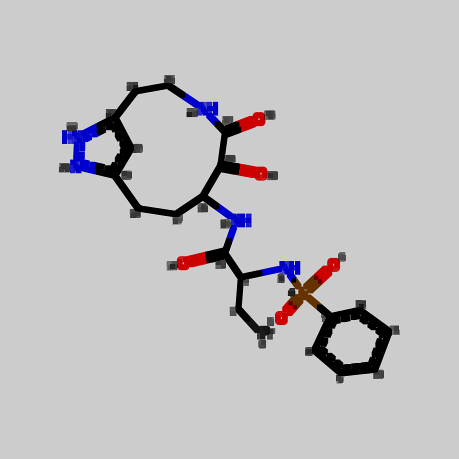 CC(C)CC(NS(=O)(=O)c1ccccc1)C(=O)NC1CCc2cc([nH]n2)CCNC(=O)C1=O